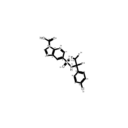 O=C(O)n1cnc2cc(S(=O)(=O)NC(F)(c3ccc(Cl)cc3)C(F)F)cnc21